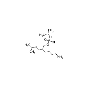 CC(C)OCC(CCCCN)COP(=O)(O)OC(C)C